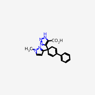 Cn1ccc(C2(c3nn[nH]c3C(=O)O)C=CC(c3ccccc3)=CC2)n1